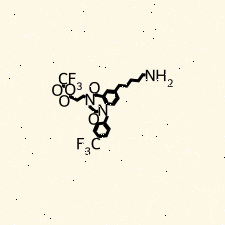 NCCCCCc1ccc2c(c1)C(=O)N(CCC(=O)OC(=O)C(F)(F)F)CC(=O)N2Cc1ccc(C(F)(F)F)cc1